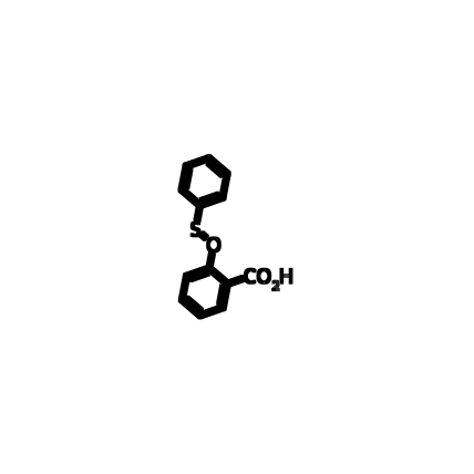 O=C(O)c1ccccc1OSc1ccccc1